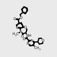 Cc1cnc(C(=O)NC2COc3cc(C(=O)OCc4ccccc4)cnc3N(C)C2=O)nc1C1CCOCC1